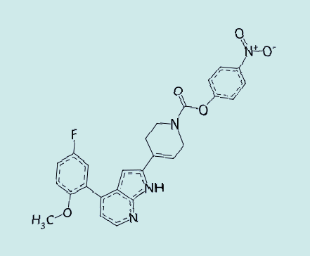 COc1ccc(F)cc1-c1ccnc2[nH]c(C3=CCN(C(=O)Oc4ccc([N+](=O)[O-])cc4)CC3)cc12